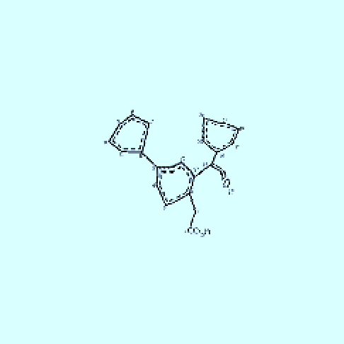 O=C(O)Cc1ccc(-c2ccccc2)cc1C(=O)c1ccccc1